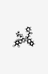 CS(=O)(=O)NCC[C@H](NC(=O)[C@@H]1Cc2ccccc2CN1C(=O)CCC(=O)N1CCCCC1)C(=O)Nc1ccc(Cl)c(Cl)c1F